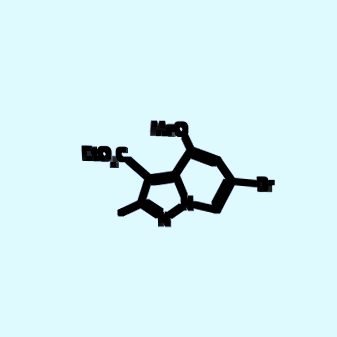 CCOC(=O)c1c(C)nn2cc(Br)cc(OC)c12